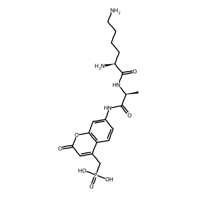 C[C@H](NC(=O)[C@@H](N)CCCCN)C(=O)Nc1ccc2c(CP(=O)(O)O)cc(=O)oc2c1